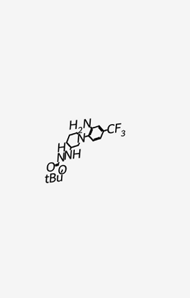 CC(C)(C)OC(=O)NNC1CCCN(c2ccc(C(F)(F)F)cc2N)C1